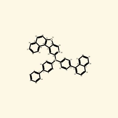 c1ccc(-c2ccc(N(c3ccc(-c4cccc5ccccc45)cc3)c3cc4c(cn3)oc3ccc5ccccc5c34)cc2)cc1